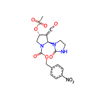 CS(=O)(=O)O[C@H]1CN(C(=O)OCc2ccc([N+](=O)[O-])cc2)[C@H](N2CCNC2=O)C1=C=O